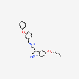 CCCOc1ccc2[nH]cc(CCNCc3cccc(Oc4ccccc4)c3)c2c1